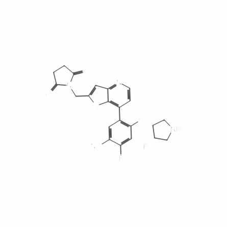 N#Cc1cc(-c2ccnc3cc(CN4C(=O)CCC4=O)sc23)c(O[C@@H]2CNC[C@@H]2F)cc1F